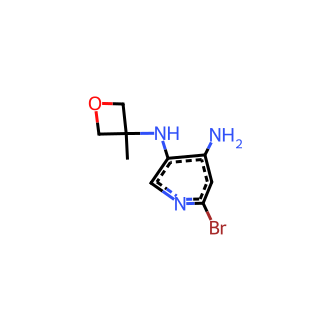 CC1(Nc2cnc(Br)cc2N)COC1